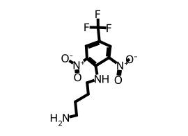 NCCCCNc1c([N+](=O)[O-])cc(C(F)(F)F)cc1[N+](=O)[O-]